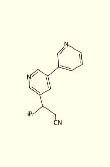 CC(C)C(CC#N)c1cncc(-c2cccnc2)c1